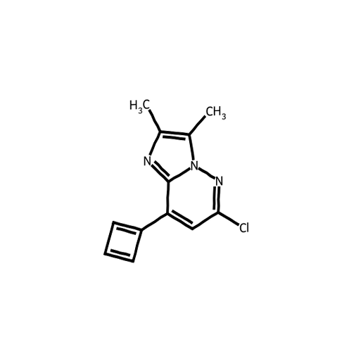 Cc1nc2c(C3=CC=C3)cc(Cl)nn2c1C